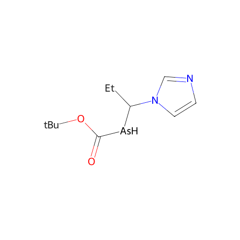 CCC([AsH]C(=O)OC(C)(C)C)n1ccnc1